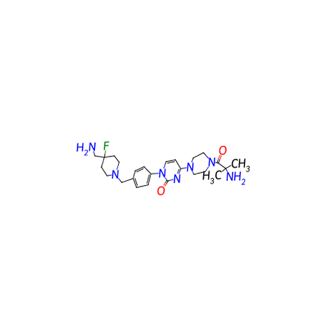 CC(C)(N)C(=O)N1CCN(c2ccn(-c3ccc(CN4CCC(F)(CN)CC4)cc3)c(=O)n2)CC1